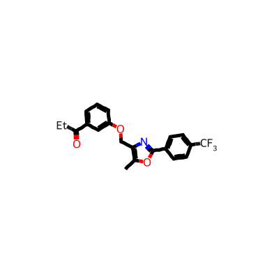 CCC(=O)c1cccc(OCc2nc(-c3ccc(C(F)(F)F)cc3)oc2C)c1